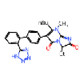 CCCCC1=C(c2ccc(-c3ccccc3-c3nnn[nH]3)cc2)C(=O)N2C(=NC(=O)C2CC)N1C